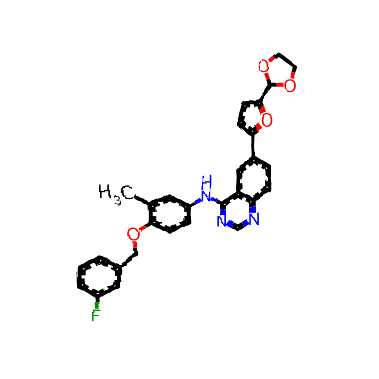 Cc1cc(Nc2ncnc3ccc(-c4ccc(C5OCCO5)o4)cc23)ccc1OCc1cccc(F)c1